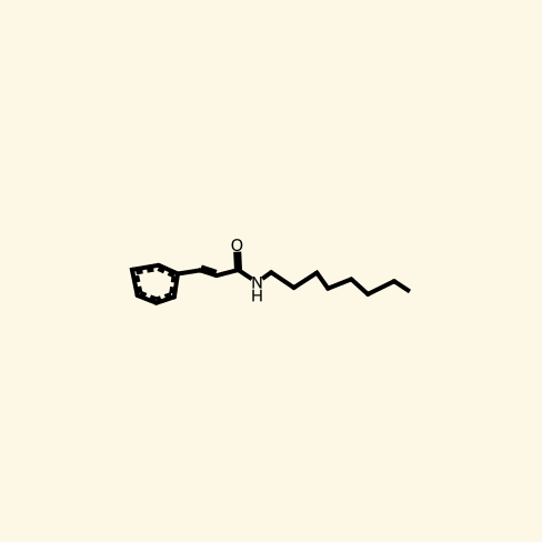 CCCCCCCCNC(=O)C=Cc1ccccc1